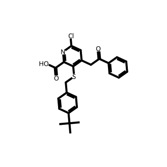 CC(C)(C)c1ccc(CSc2c(CC(=O)c3ccccc3)cc(Cl)nc2C(=O)O)cc1